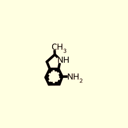 CC1Cc2cccc(N)c2N1